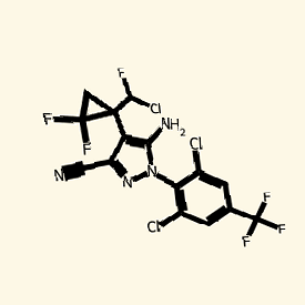 N#Cc1nn(-c2c(Cl)cc(C(F)(F)F)cc2Cl)c(N)c1C1(C(F)Cl)CC1(F)F